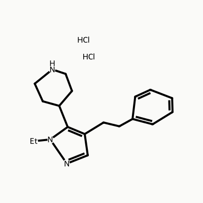 CCn1ncc(CCc2ccccc2)c1C1CCNCC1.Cl.Cl